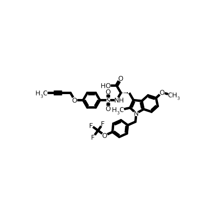 CC#CCOc1ccc(S(=O)(=O)N[C@@H](Cc2c(C)n(Cc3ccc(OC(F)(F)F)cc3)c3ccc(OC)cc23)C(=O)O)cc1